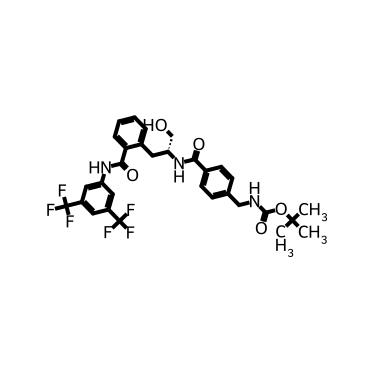 CC(C)(C)OC(=O)NCc1ccc(C(=O)N[C@@H](CO)Cc2ccccc2C(=O)Nc2cc(C(F)(F)F)cc(C(F)(F)F)c2)cc1